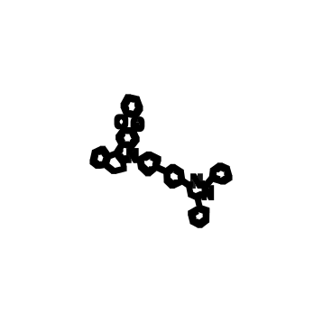 c1ccc(C2=NC(c3ccccc3)=NC(c3ccc(-c4ccc(-n5c6c(c7cc8c(cc75)Oc5ccccc5O8)-c5ccccc5CC6)cc4)cc3)C2)cc1